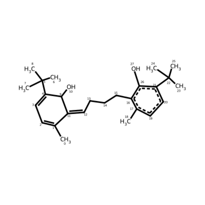 CC1=CC=C(C(C)(C)C)C(O)C1=CCCCc1c(C)ccc(C(C)(C)C)c1O